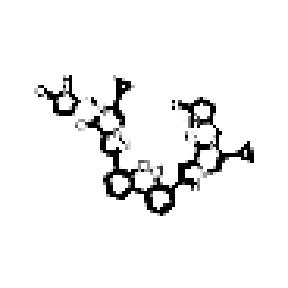 O=C1CC[C@@H](Cn2c(C3CC3)cn3nc(-c4cccc(-c5cccc(-c6cc7c(=O)n(C[C@@H]8CCC(=O)N8)c(C8CC8)cn7n6)c5Cl)c4Cl)cc3c2=O)N1